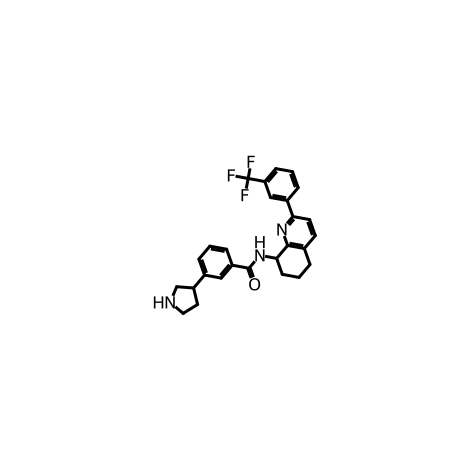 O=C(NC1CCCc2ccc(-c3cccc(C(F)(F)F)c3)nc21)c1cccc(C2CCNC2)c1